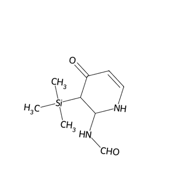 C[Si](C)(C)C1C(=O)C=CNC1NC=O